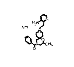 CC1CN(C(=O)c2ccccc2)CC2(CCN(CCc3ncccc3N)CC2)O1.Cl